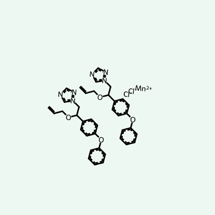 C=CCOC(Cn1cncn1)c1ccc(Oc2ccccc2)cc1.C=CCOC(Cn1cncn1)c1ccc(Oc2ccccc2)cc1.[Cl-].[Cl-].[Mn+2]